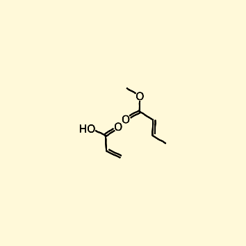 C/C=C/C(=O)OC.C=CC(=O)O